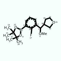 COC(c1cccc(B2OC(C)(C)C(C)(C)O2)c1F)C1CCOC1